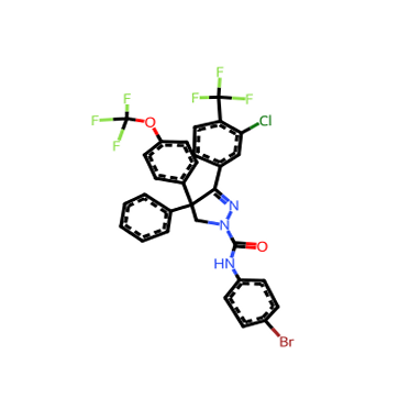 O=C(Nc1ccc(Br)cc1)N1CC(c2ccccc2)(c2ccc(OC(F)(F)F)cc2)C(c2ccc(C(F)(F)F)c(Cl)c2)=N1